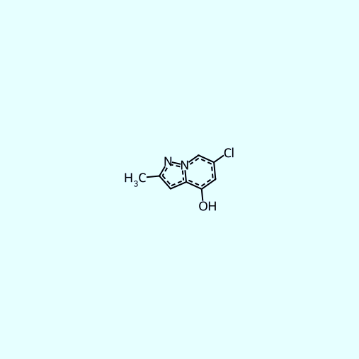 Cc1cc2c(O)cc(Cl)cn2n1